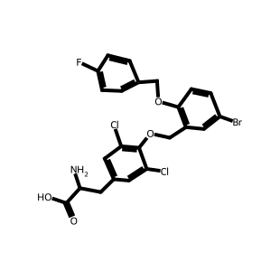 NC(Cc1cc(Cl)c(OCc2cc(Br)ccc2OCc2ccc(F)cc2)c(Cl)c1)C(=O)O